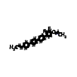 C/C=C/Oc1ccc(C2CCC(c3ccc(C4CCC(CCC)CC4)cc3)CC2)c(F)c1F